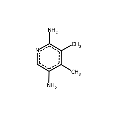 Cc1c(N)cnc(N)c1C